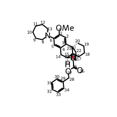 COc1cc2c(cc1N1CCCCCC1)C[C@H]1[C@H]3CCCC[C@@]23CCN1C(=O)OCc1ccccc1